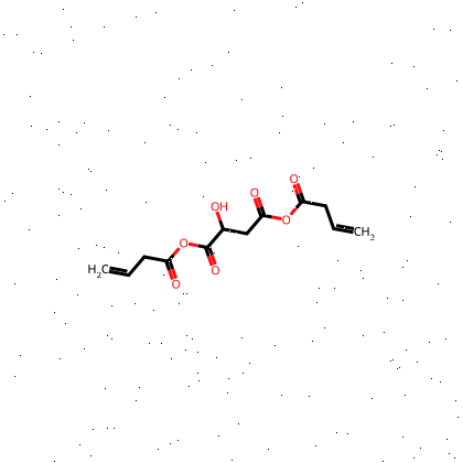 C=CCC(=O)OC(=O)CC(O)C(=O)OC(=O)CC=C